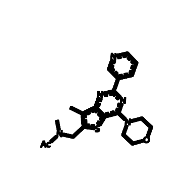 CC(=O)N(C)Cc1sc2c(N3CCOCC3)nc(-c3cccnc3)nc2c1C